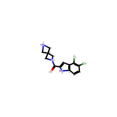 O=C(c1cc2c(Cl)c(Cl)ccc2[nH]1)N1CC2(CNC2)C1